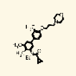 CCN(C(=O)C1CC1)c1cc(-c2ccc(OCCCN3CCOCC3)c(C)c2)cc(C)c1C